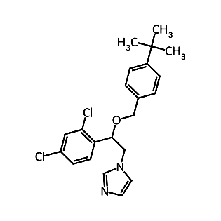 CC(C)(C)c1ccc(COC(Cn2ccnc2)c2ccc(Cl)cc2Cl)cc1